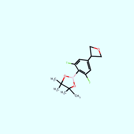 CC1(C)OB(c2c(F)cc(C3COC3)cc2F)OC1(C)C